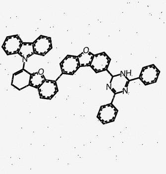 C1=C(n2c3ccccc3c3ccccc32)c2oc3c(-c4ccc5oc6ccc(C7N=C(c8ccccc8)N=C(c8ccccc8)N7)cc6c5c4)cccc3c2CC1